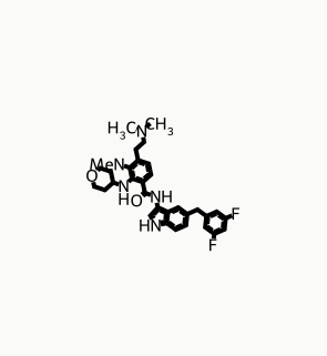 CNc1c(CCN(C)C)ccc(C(=O)Nc2c[nH]c3ccc(Cc4cc(F)cc(F)c4)cc23)c1NC1CCOCC1